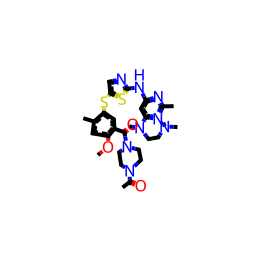 COc1cc(C)c(Sc2cnc(Nc3cc(N(C)CCN(C)C)nc(C)n3)s2)cc1C(=O)N1CCN(C(C)=O)CC1